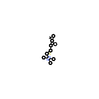 CC1(C)c2ccccc2-c2cc3c(cc21)-c1ccc(-c2ccc4sc5c(-c6nc(-c7ccccc7)c(-c7ccccc7)nc6-c6ccccc6)cccc5c4c2)cc1C31CCCCC1